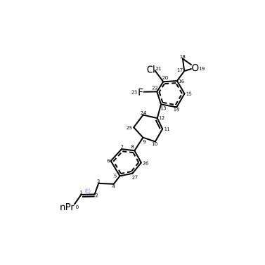 CCC/C=C/CCc1ccc(C2CC=C(c3ccc(C4CO4)c(Cl)c3F)CC2)cc1